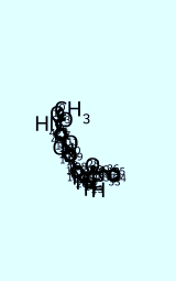 COC(=O)Nc1ccc(S(=O)(=O)N2CCC(c3ccn4nc(C(F)(F)F)c(C(=O)NCc5ccccc5)c4c3)CC2)cc1